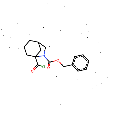 O=C(OCc1ccccc1)N1CC2CCCC1(C(=O)Cl)C2